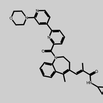 CC1=C(/C=C(\C)C(=O)NC2CC2)CCN(C(=O)c2cccc(-c3ccnc(N4CCOCC4)c3)n2)c2ccccc21